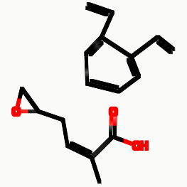 C=Cc1ccccc1C=C.CC(=CCC1CO1)C(=O)O